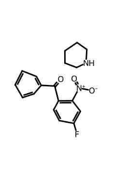 C1CCNCC1.O=C(c1ccccc1)c1ccc(F)cc1[N+](=O)[O-]